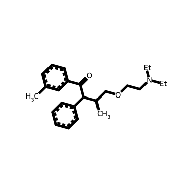 CCN(CC)CCOCC(C)C(C(=O)c1cccc(C)c1)c1ccccc1